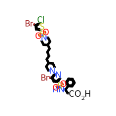 O=C(O)CC(NS(=O)(=O)c1cnc(N2CCC(CCCCC3CCN(S(=O)(=O)c4cc(Br)c(Cl)s4)CC3)CC2)c(Br)c1)c1ccccc1